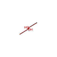 CCCCCCCCCCCCCCCCCCc1cc(O)c(CCCCCCCCCCCCCCCCCC)cc1O